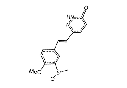 COc1ccc(C=Cc2ccc(=O)[nH]n2)cc1[S+](C)[O-]